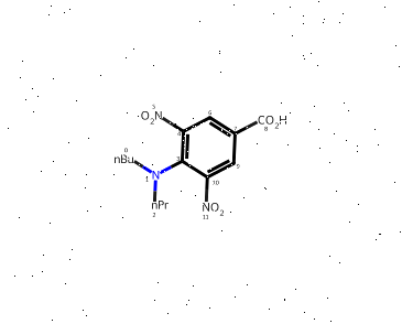 CCCCN(CCC)c1c([N+](=O)[O-])cc(C(=O)O)cc1[N+](=O)[O-]